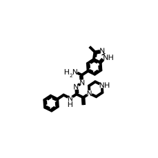 C=C(/C(=N\N=C(/N)c1ccc2[nH]nc(C)c2c1)NCc1ccccc1)N1CCNCC1